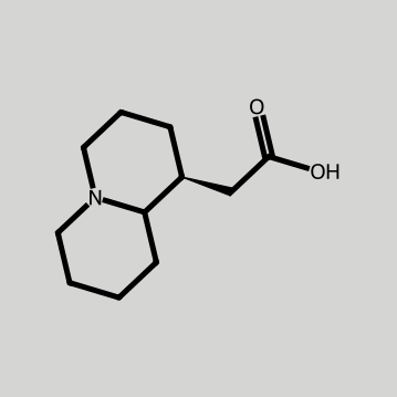 O=C(O)C[C@@H]1CCCN2CCCCC12